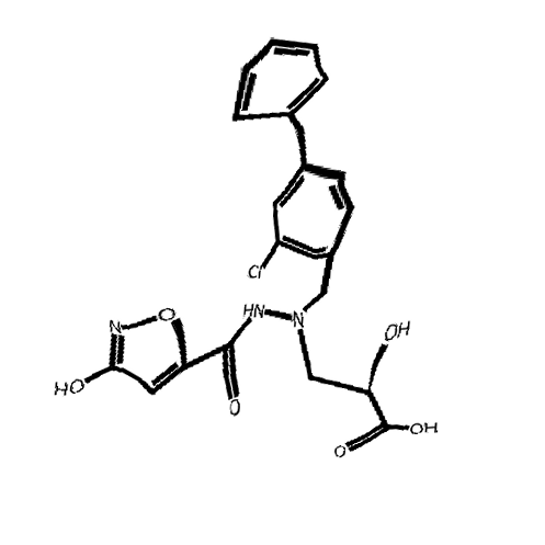 O=C(NN(Cc1ccc(-c2ccccc2)cc1Cl)C[C@@H](O)C(=O)O)c1cc(O)no1